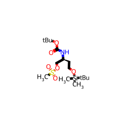 CC(C)(C)OC(=O)N[C@@H](CCO[Si](C)(C)C(C)(C)C)COS(C)(=O)=O